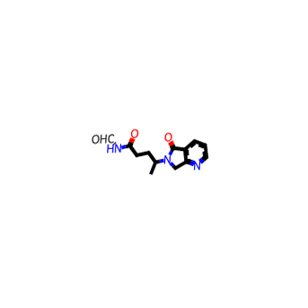 CC(CCC(=O)NC=O)N1Cc2ncccc2C1=O